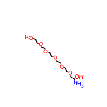 NC(O)COCCOCCOCCOCCOCCO